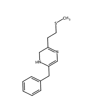 CSCCC1=NC=C(Cc2ccccc2)NC1